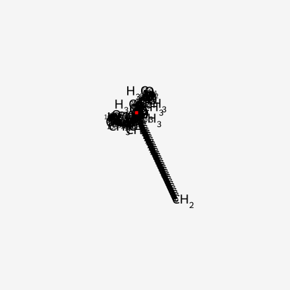 C=C=C=C=C=C=C=C=C=C=C=C=C=C=C=C=C=C=C=C=C=C=C=C=C=C=C=C=C=C=C=C=C=C=C=C(N(C(C)=O)C1CC(=O)N(c2c(CC)cc(Cc3cc(CC)c(N4C(=O)C=CC4=O)c(CC)c3)cc2CC)C1=O)N(C(C)=O)C1CC(=O)N(c2c(CC)cc(Cc3cc(CC)c(N4C(=O)C=CC4=O)c(CC)c3)cc2CC)C1=O